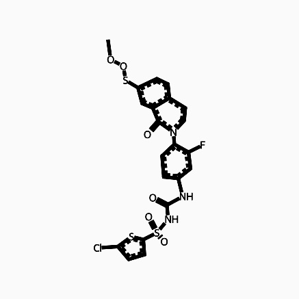 COOSc1ccc2ccn(-c3ccc(NC(=O)NS(=O)(=O)c4ccc(Cl)s4)cc3F)c(=O)c2c1